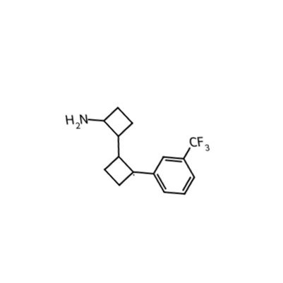 NC1CCC1C1CC[C]1c1cccc(C(F)(F)F)c1